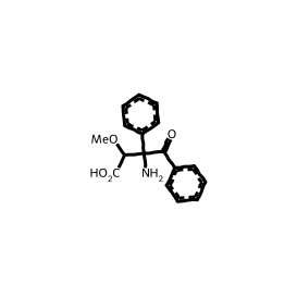 COC(C(=O)O)C(N)(C(=O)c1ccccc1)c1ccccc1